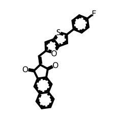 O=C1C(=Cc2cc3sc(-c4ccc(F)cc4)cc3o2)C(=O)c2cc3ccccc3cc21